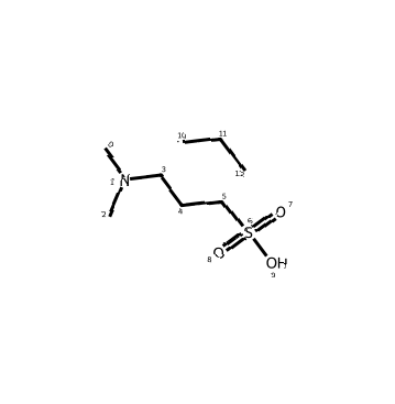 CN(C)CCCS(=O)(=O)O.[CH2]CC